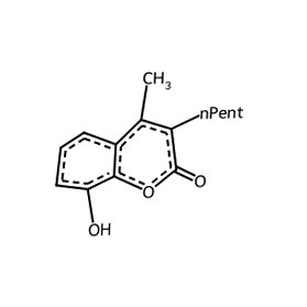 CCCCCc1c(C)c2cccc(O)c2oc1=O